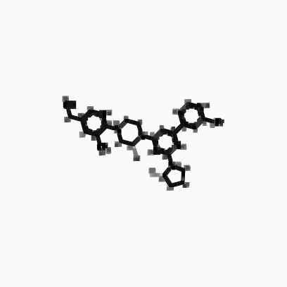 CC(C)c1cc(-c2cc(N3CCN(c4ncc(CO)cc4C(F)(F)F)C[C@H]3C)nc(N3CCC[C@@H]3C)n2)ccn1